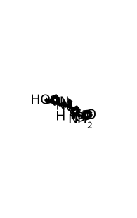 Nc1cc(-c2ccnc(Nc3cccc(CO)c3)n2)ccc1OC1CCOCC1